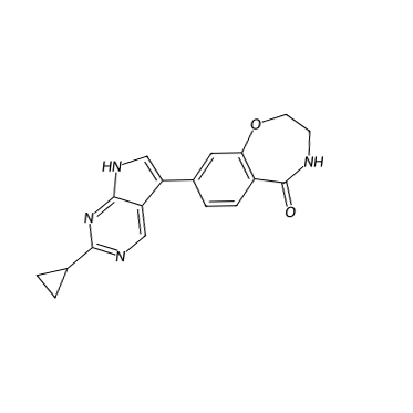 O=C1NCCOc2cc(-c3c[nH]c4nc(C5CC5)ncc34)ccc21